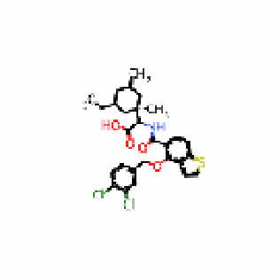 C=C1CC(CC)C[C@](C)(C(NC(=O)c2ccc3sccc3c2OCc2ccc(Cl)c(Cl)c2)C(=O)O)C1